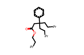 CC(C)CCOC(=O)CC(CCC(C)C)(CCC(C)C)c1ccccc1